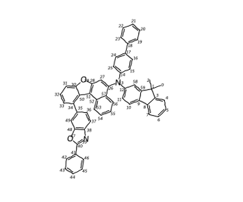 CC1(C)c2ccccc2-c2ccc(N(c3ccc(-c4ccccc4)cc3)c3cc4oc5cccc(-c6ccc7nc(-c8ccccc8)oc7c6)c5c4c4ccccc34)cc21